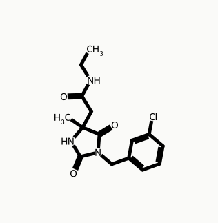 CCNC(=O)CC1(C)NC(=O)N(Cc2cccc(Cl)c2)C1=O